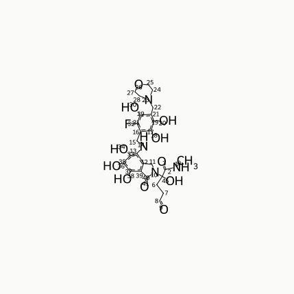 CNC(=O)C(O)(CCC=O)N1Cc2c(NCc3c(O)c(O)c(CN4CCOCC4)c(O)c3F)c(O)c(O)c(O)c2C1=O